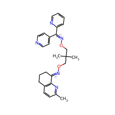 Cc1ccc2c(n1)/C(=N/OCC(C)(C)CO/N=C(\c1ccncc1)c1ccccn1)CCC2